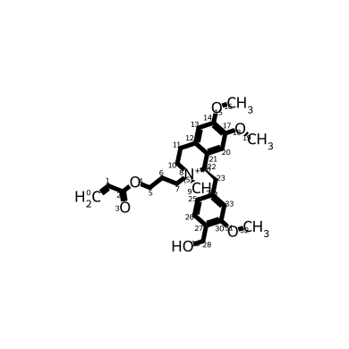 C=CC(=O)OCCC[N@+]1(C)CCc2cc(OC)c(OC)cc2[C@H]1Cc1ccc(CO)c(OC)c1